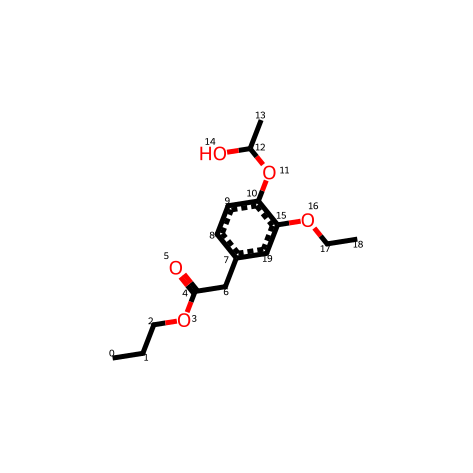 CCCOC(=O)Cc1ccc(OC(C)O)c(OCC)c1